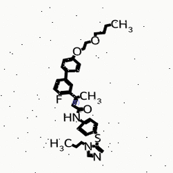 CCCCOCCOc1ccc(-c2ccc(F)c(/C(C)=C/C(=O)Nc3ccc(Sc4cncn4CCC)cc3)c2)cc1